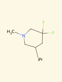 CC(C)C1CN(C)CC(F)(F)C1